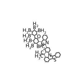 Bc1c(B)c(B)c2c(oc3c(-c4nc(-c5ccc6c(c5)C(C)(C)c5cccc7c8sc9ccccc9c8n-6c57)nc5ccccc45)c(B)c(B)c(B)c32)c1B